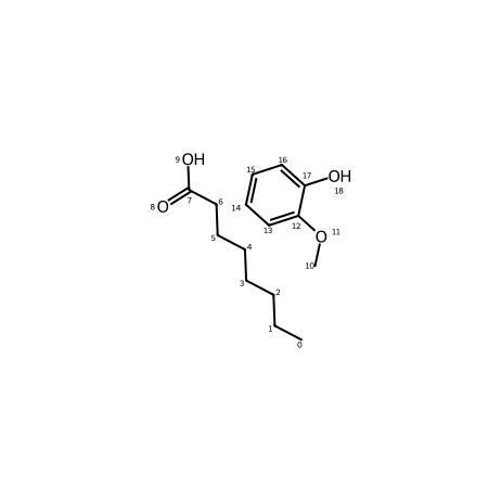 CCCCCCCC(=O)O.COc1ccccc1O